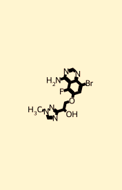 Cn1cnc(C(O)COc2cc(Br)c3ncnc(N)c3c2F)n1